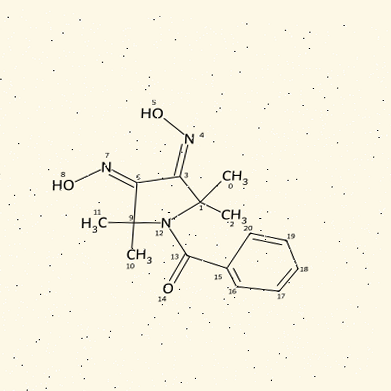 CC1(C)C(=NO)C(=NO)C(C)(C)N1C(=O)c1ccccc1